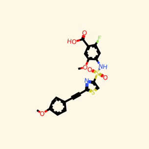 COc1ccc(C#Cc2nc(S(=O)(=O)Nc3cc(F)c(C(=O)O)cc3OC)cs2)cc1